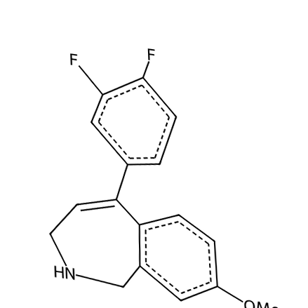 COc1ccc2c(c1)CNCC=C2c1ccc(F)c(F)c1